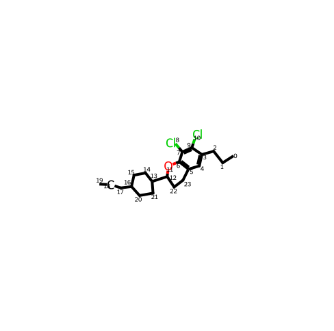 CCCc1cc2c(c(Cl)c1Cl)OC(C1CCC(CCC)CC1)CC2